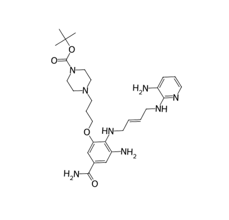 CC(C)(C)OC(=O)N1CCN(CCCOc2cc(C(N)=O)cc(N)c2NC/C=C/CNc2ncccc2N)CC1